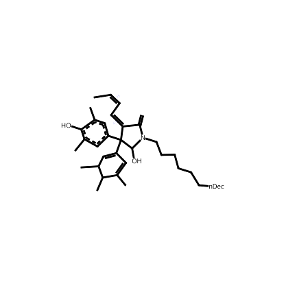 C=C1/C(=C\C=C/C)C(C2=CC(C)C(C)C(C)=C2)(c2cc(C)c(O)c(C)c2)C(O)N1CCCCCCCCCCCCCCCC